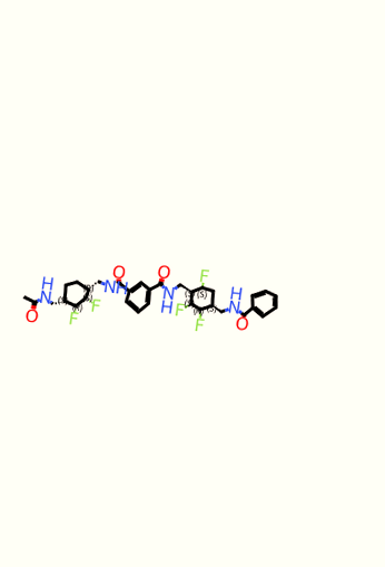 CC(=O)NC[C@@H]1CC[C@H](CNC(=O)c2cccc(C(=O)NC[C@@H]3[C@H](F)[C@H](F)[C@H](CNC(=O)c4ccccc4)C[C@@H]3F)c2)[C@H](F)[C@@H]1F